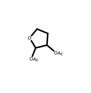 CC(=O)OC1CCOC1OC(C)=O